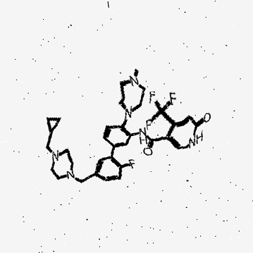 CN1CCN(c2ccc(-c3cc(CN4CCN(CC5CC5)CC4)ccc3F)cc2NC(=O)c2c[nH]c(=O)cc2C(F)(F)F)CC1